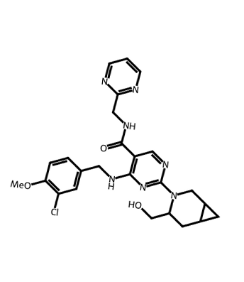 COc1ccc(CNc2nc(N3CC4CC4CC3CO)ncc2C(=O)NCc2ncccn2)cc1Cl